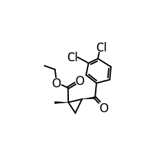 CCOC(=O)[C@@]1(C)C[C@@H]1C(=O)c1ccc(Cl)c(Cl)c1